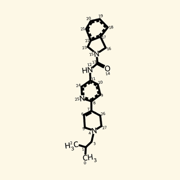 CC(C)CN1CC=C(c2ccc(NC(=O)N3Cc4ccccc4C3)cn2)CC1